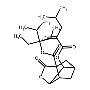 C=C(CC(C)C)C(=O)OC1C2CC3C1OC(=O)C3(C(=O)OC(CC)(CC)C(C)C)C2